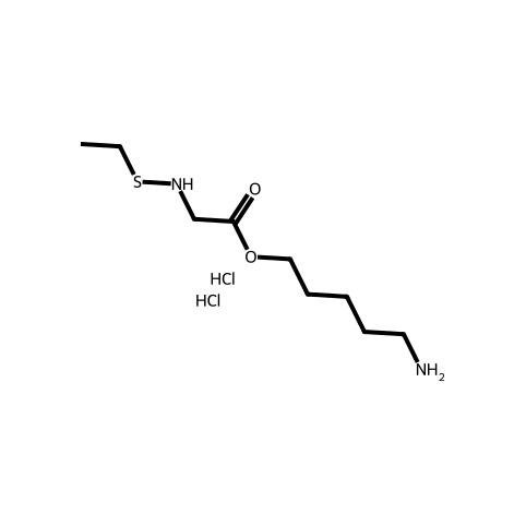 CCSNCC(=O)OCCCCCN.Cl.Cl